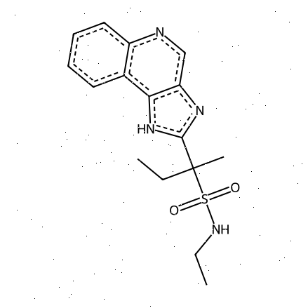 CCNS(=O)(=O)C(C)(CC)c1nc2cnc3ccccc3c2[nH]1